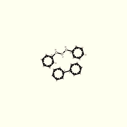 c1ccc(-c2ccccc2)cc1.c1ccc(OOOc2ccccc2)cc1